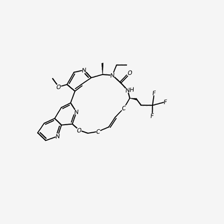 CCN1C(=O)N[C@@H](CCC(F)(F)F)C/C=C/CCOc2nc(cc3cccnc23)-c2cc(ncc2OC)[C@H]1C